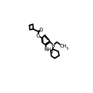 CCN(c1ccc(OC(=O)C2CCC2)cc1N)C1CCCCC1